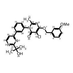 COc1cccc(COc2nc(C)n(-c3cccc(-c4ccnc(C(C)(C)O)n4)c3)c(=O)c2Cl)c1